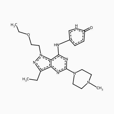 CCOCCn1nc(CC)c2nc(N3CCN(C)CC3)nc(Nc3ccc(=O)[nH]c3)c21